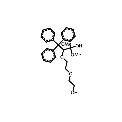 COC(O)(OC)C(OCCOCCO)C(c1ccccc1)(c1ccccc1)c1ccccc1